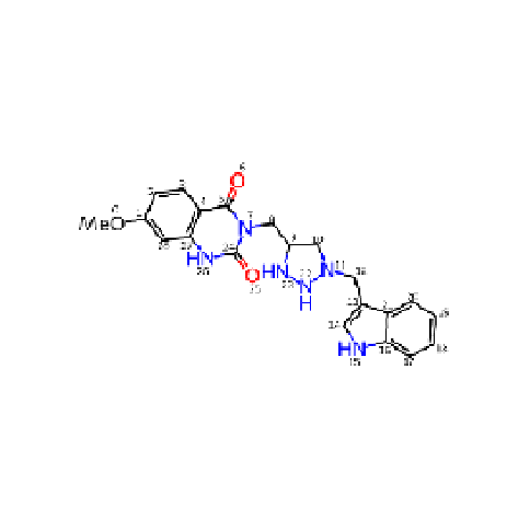 COc1ccc2c(=O)n(CC3CN(Cc4c[nH]c5ccccc45)NN3)c(=O)[nH]c2c1